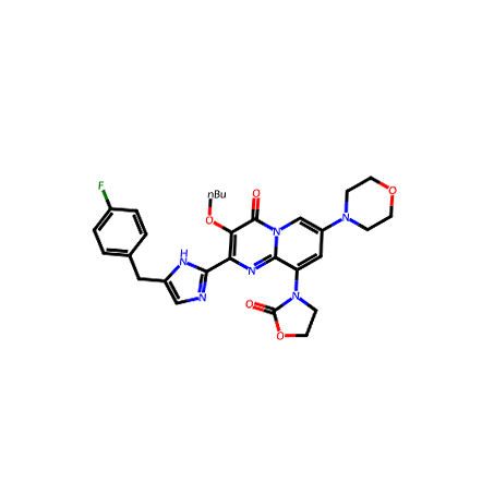 CCCCOc1c(-c2ncc(Cc3ccc(F)cc3)[nH]2)nc2c(N3CCOC3=O)cc(N3CCOCC3)cn2c1=O